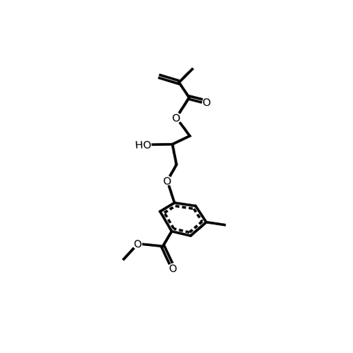 C=C(C)C(=O)OCC(O)COc1cc(C)cc(C(=O)OC)c1